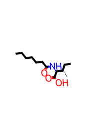 CCCCCCC(=O)N[C@H](C(=O)O)[C@@H](C)CC